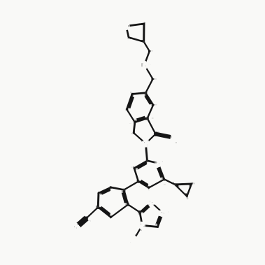 Cn1cnnc1-c1cc(C#N)ccc1-c1cc(C2CC2)nc(N2Cc3ccc(CNCC4COC4)cc3C2=O)c1